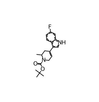 CC1CC(c2c[nH]c3cc(F)ccc23)=CCN1C(=O)OC(C)(C)C